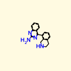 Nc1nc(-c2cccc3c2CNCC3)c2ccccc2n1